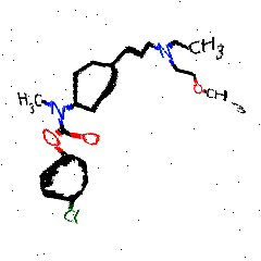 CCN(CC=CC1CCC(N(C)C(=O)Oc2ccc(Cl)cc2)CC1)CCOC